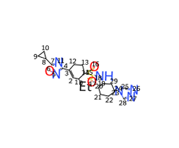 CCC1C=C(c2noc(C3CC3)n2)CCC1S(=O)(=O)N[C@H]1CCC[C@@H](n2cnnc2)C1